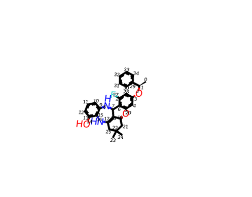 C[C@@H](Oc1ccc(C2Nc3cccc(O)c3NC3=C2C(=O)CC(C)(C)C3)c(F)c1)c1ccccc1